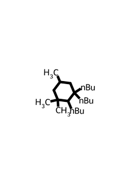 CCCCC1C(C)(C)CC(C)CC1(CCCC)CCCC